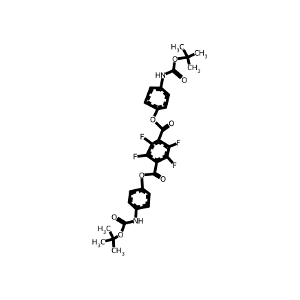 CC(C)(C)OC(=O)Nc1ccc(OC(=O)c2c(F)c(F)c(C(=O)Oc3ccc(NC(=O)OC(C)(C)C)cc3)c(F)c2F)cc1